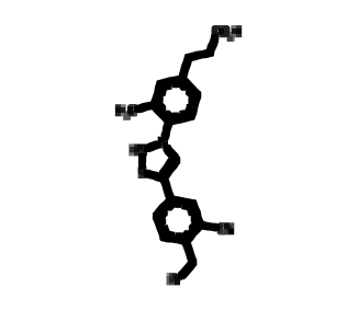 Cc1cc(CCC(=O)O)ccc1N1C=C(c2ccc(CC(C)C)c(C#N)c2)SN1